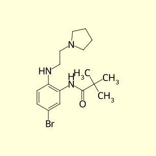 CC(C)(C)C(=O)Nc1cc(Br)ccc1NCCN1CCCC1